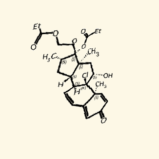 CCC(=O)OCC(=O)[C@]1(OC(=O)CC)[C@@H](C)C[C@H]2[C@@H]3C=CC4=CC(=O)C=C[C@]4(C)[C@@]3(Cl)[C@@H](O)C[C@@]21C